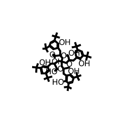 CC(C)(C)c1cc(CC(CC(CC(Cc2cc(C(C)(C)C)cc(C(C)(C)C)c2O)C(=O)O)(CC(Cc2cc(C(C)(C)C)cc(C(C)(C)C)c2O)C(=O)O)CC(Cc2cc(C(C)(C)C)cc(C(C)(C)C)c2O)C(=O)O)C(=O)O)c(O)c(C(C)(C)C)c1